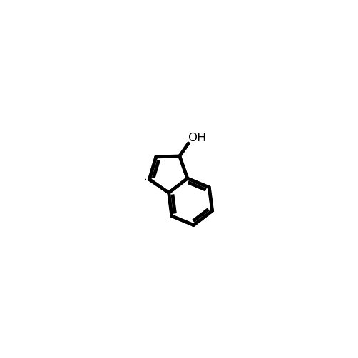 OC1C=[C]c2ccccc21